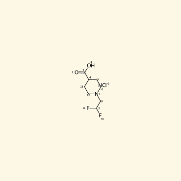 Cl.O=C(O)C1CCN(CC(F)F)CC1